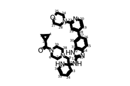 O=C(C1CC1)N1CCN(CC2(Nc3nc4ccc(-c5ccnc(N6CCOCC6)c5)cc4[nH]3)C=CC=CN2)CC1